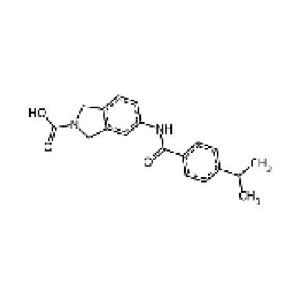 CC(C)c1ccc(C(=O)Nc2ccc3c(c2)CN(C(=O)O)C3)cc1